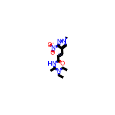 CCN(CC)C(C)NC(=O)/C=C/c1cn(C)nc1[N+](=O)[O-]